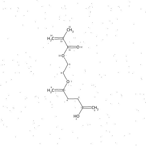 C=C(O)CCC(=C)OCCOC(=O)C(=C)C